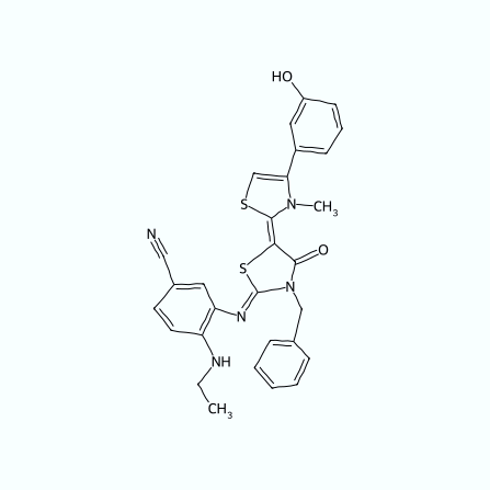 CCNc1ccc(C#N)cc1N=C1SC(=C2SC=C(c3cccc(O)c3)N2C)C(=O)N1Cc1ccccc1